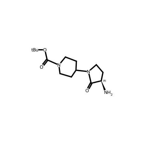 CC(C)(C)OC(=O)N1CCC(N2CC[C@@H](N)C2=O)CC1